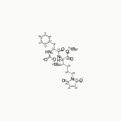 CC(C)(C)OC(=O)NC(Cc1ccccc1)C(=O)NC(CCCCN1C(=O)C=CC1=O)C(=O)OC(C)(C)C